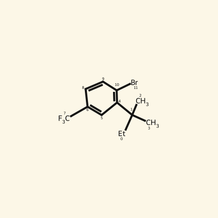 CCC(C)(C)c1cc(C(F)(F)F)ccc1Br